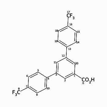 O=C(O)c1cc(-c2ccc(C(F)(F)F)cc2)cc(-c2ccc(C(F)(F)F)cc2)c1